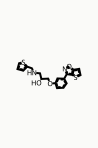 O[C@H](CNCc1cccs1)COc1cccc(-c2noc3ccsc23)c1